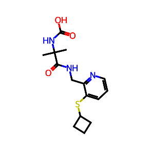 CC(C)(NC(=O)O)C(=O)NCc1ncccc1SC1CCC1